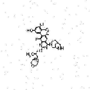 C[C@@H](COc1nc(N2CCC3CNC(C3)C2)c2cc(Cl)c(-c3cc(O)cc(Cl)c3C3CC3)c(F)c2n1)CN1C2CCC1COC2